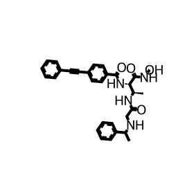 CC(NCC(=O)N[C@H](C)[C@H](NC(=O)c1ccc(C#Cc2ccccc2)cc1)C(=O)NO)c1ccccc1